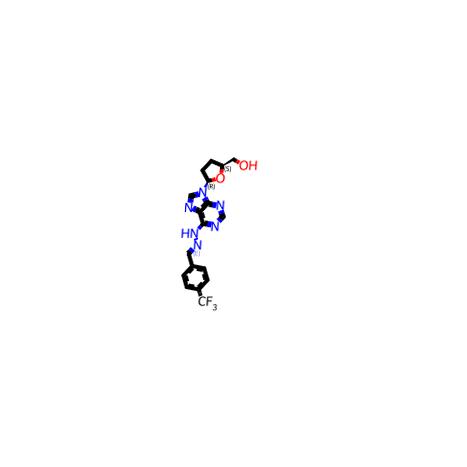 OC[C@@H]1CC[C@H](n2cnc3c(N/N=C/c4ccc(C(F)(F)F)cc4)ncnc32)O1